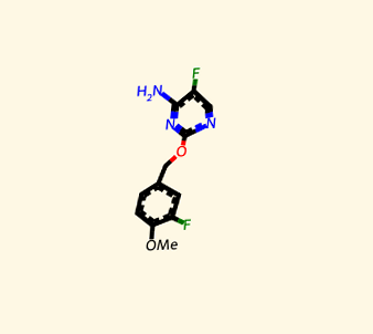 COc1ccc(COc2ncc(F)c(N)n2)cc1F